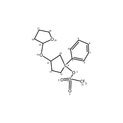 O=S(=O)(OS1(c2ccccc2)CCC(OC2CCCO2)C1)C(F)(F)F